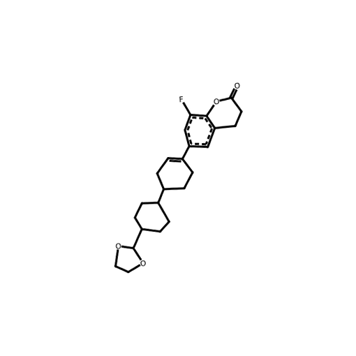 O=C1CCc2cc(C3=CCC(C4CCC(C5OCCO5)CC4)CC3)cc(F)c2O1